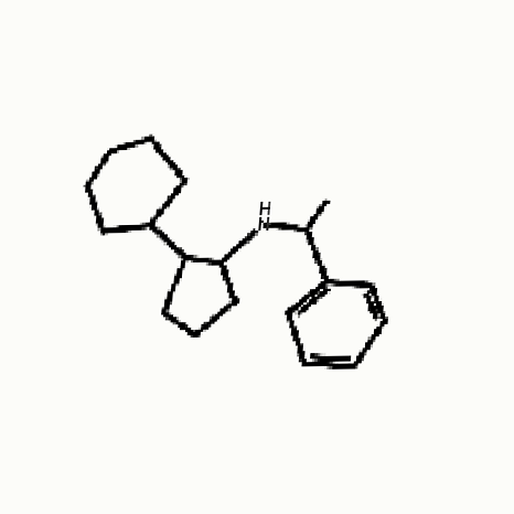 CC(NC1CCCC1C1CCCCC1)c1ccccc1